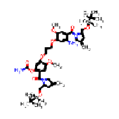 C=C1CC(CO[Si](C)(C)C(C)(C)C)N(C(=O)c2cc(OC)c(OCCCOc3cc(OC(N)=O)c(C(=O)N4CC(=C)CC4CO[Si](C)(C)C(C)(C)C)cc3OC)cc2N)C1